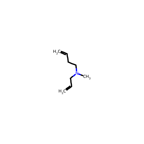 C=CCCN(C)CC=C